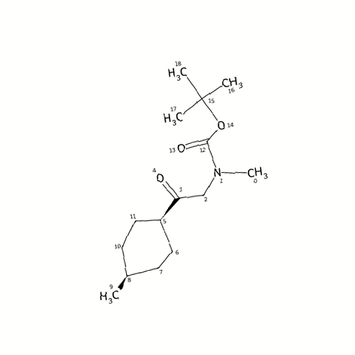 CN(CC(=O)[C@H]1CC[C@@H](C)CC1)C(=O)OC(C)(C)C